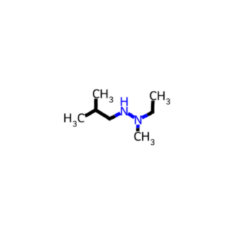 CCN(C)NCC(C)C